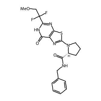 COCC(F)(F)c1nc2sc(N3CCC[C@@H]3C(=O)NCc3ccccc3)nc2c(=O)[nH]1